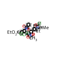 CC1COc2ccccc2N1C(=O)C(Cl)Cl.CCOC(=O)/C(Cl)=C/c1cc(N2C(=O)C3=C(CCCC3)C2=O)ccc1Cl.CCc1cccc(CC)c1N(COC)C(=O)CCl